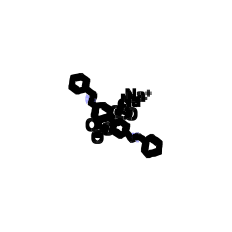 O=S(=O)([O-])c1cc(/C=C/c2ccccc2)ccc1-c1ccc(/C=C/c2ccccc2)cc1S(=O)(=O)[O-].[Na+].[Na+]